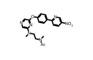 CC(=O)N(C)CCN(C)c1cncc(Oc2ccc(-c3ccc([N+](=O)[O-])cn3)cc2)n1